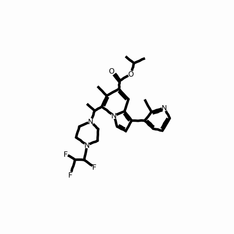 Cc1ncccc1-c1ccn2c(C(C)N3CCN(C(F)C(F)F)CC3)c(C)c(C(=O)OC(C)C)cc12